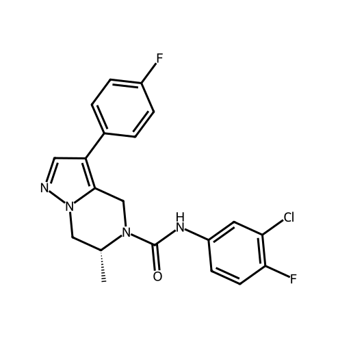 C[C@@H]1Cn2ncc(-c3ccc(F)cc3)c2CN1C(=O)Nc1ccc(F)c(Cl)c1